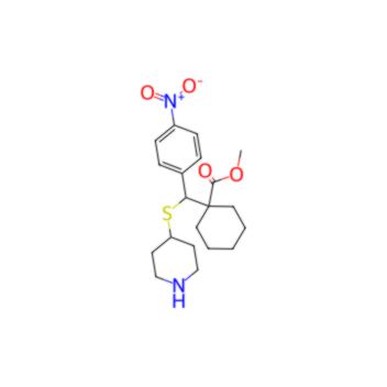 COC(=O)C1(C(SC2CCNCC2)c2ccc([N+](=O)[O-])cc2)CCCCC1